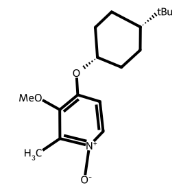 COc1c(O[C@H]2CC[C@@H](C(C)(C)C)CC2)cc[n+]([O-])c1C